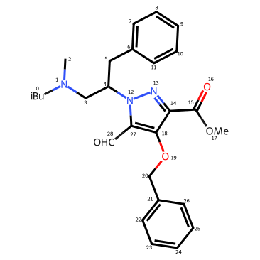 CCC(C)N(C)CC(Cc1ccccc1)n1nc(C(=O)OC)c(OCc2ccccc2)c1C=O